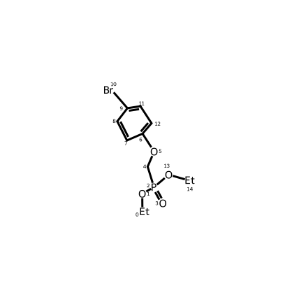 CCOP(=O)(COc1ccc(Br)cc1)OCC